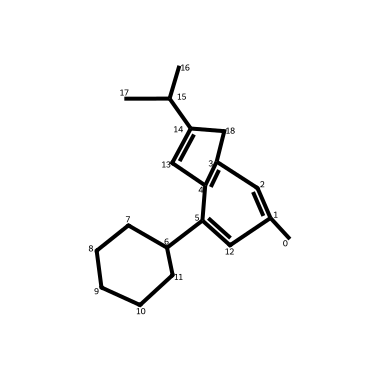 Cc1cc2c(c(C3CCCCC3)c1)C=C(C(C)C)C2